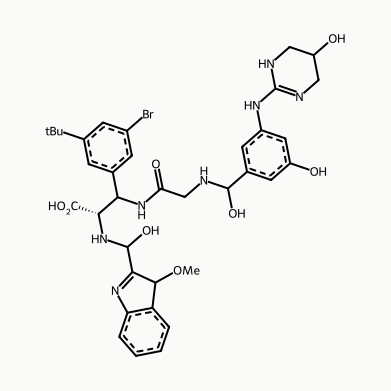 COC1C(C(O)N[C@H](C(=O)O)C(NC(=O)CNC(O)c2cc(O)cc(NC3=NCC(O)CN3)c2)c2cc(Br)cc(C(C)(C)C)c2)=Nc2ccccc21